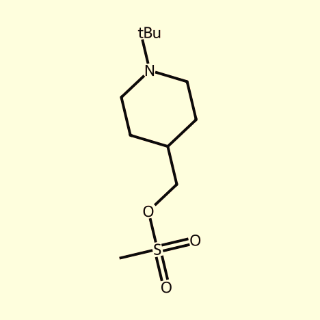 CC(C)(C)N1CCC(COS(C)(=O)=O)CC1